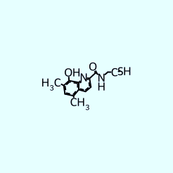 Cc1cc(C)c2ccc(C(=O)NCCS)nc2c1O